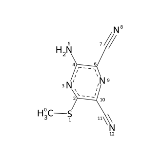 CSc1nc(N)c(C#N)nc1C#N